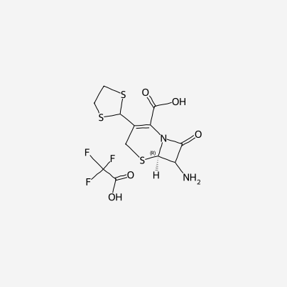 NC1C(=O)N2C(C(=O)O)=C(C3SCCS3)CS[C@H]12.O=C(O)C(F)(F)F